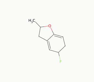 CC1CC2=CC(F)CC=C2O1